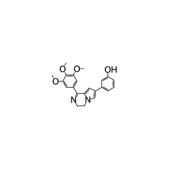 COc1cc(C2=NCCn3cc(-c4cccc(O)c4)cc32)cc(OC)c1OC